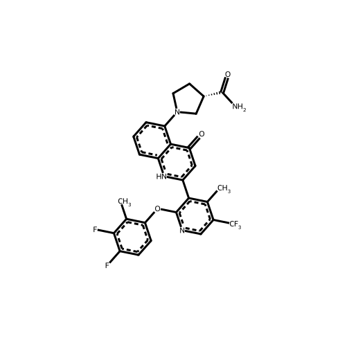 Cc1c(Oc2ncc(C(F)(F)F)c(C)c2-c2cc(=O)c3c(N4CC[C@H](C(N)=O)C4)cccc3[nH]2)ccc(F)c1F